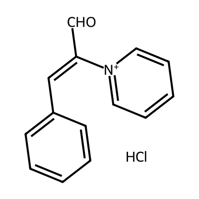 Cl.O=CC(=Cc1ccccc1)[n+]1ccccc1